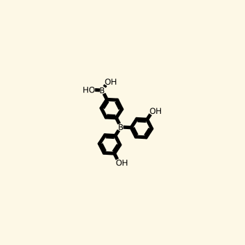 OB(O)c1ccc(B(c2cccc(O)c2)c2cccc(O)c2)cc1